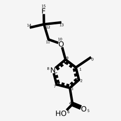 Cc1cc(C(=O)O)cnc1OCC(C)(C)F